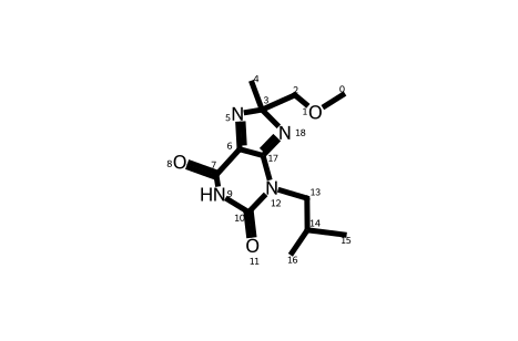 COCC1(C)N=c2c(=O)[nH]c(=O)n(CC(C)C)c2=N1